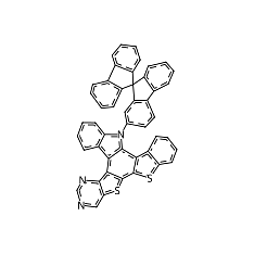 c1ccc2c(c1)-c1ccccc1C21c2ccccc2-c2ccc(-n3c4ccccc4c4c5c6ncncc6sc5c5sc6ccccc6c5c43)cc21